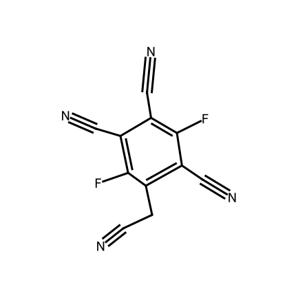 N#CCc1c(F)c(C#N)c(C#N)c(F)c1C#N